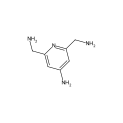 NCc1cc(N)cc(CN)n1